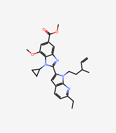 C=CC(C)CCn1c(-c2nc3cc(C(=O)OC)cc(OC)c3n2C2CC2)cc2ccc(CC)nc21